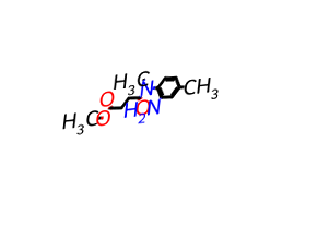 COC(=O)CCC(=O)N(C)c1ccc(C)cc1N